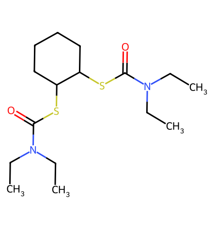 CCN(CC)C(=O)SC1CCCCC1SC(=O)N(CC)CC